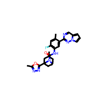 Cc1nnc(C23CC(C)CC(C2)N3C(=O)Nc2cc(-c3ncc4cccn4n3)c(C)cc2F)o1